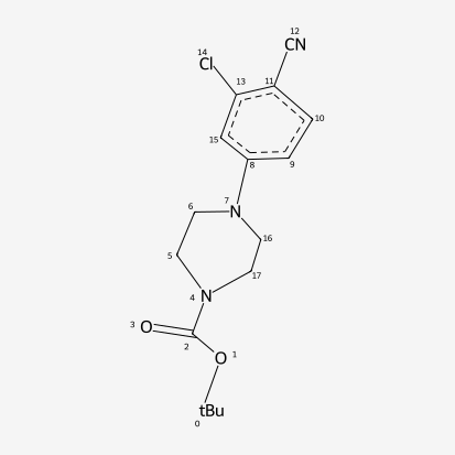 CC(C)(C)OC(=O)N1CCN(c2ccc(C#N)c(Cl)c2)CC1